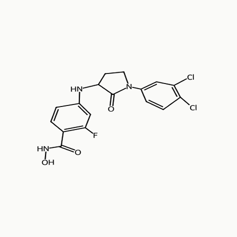 O=C(NO)c1ccc(NC2CCN(c3ccc(Cl)c(Cl)c3)C2=O)cc1F